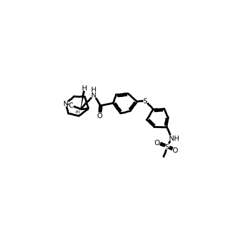 CS(=O)(=O)Nc1ccc(Sc2ccc(C(=O)N[C@H]3CN4CCC3CC4)cc2)cc1